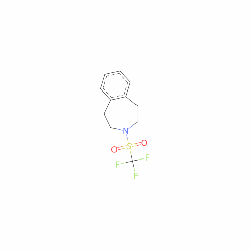 O=S(=O)(N1CCc2ccccc2CC1)C(F)(F)F